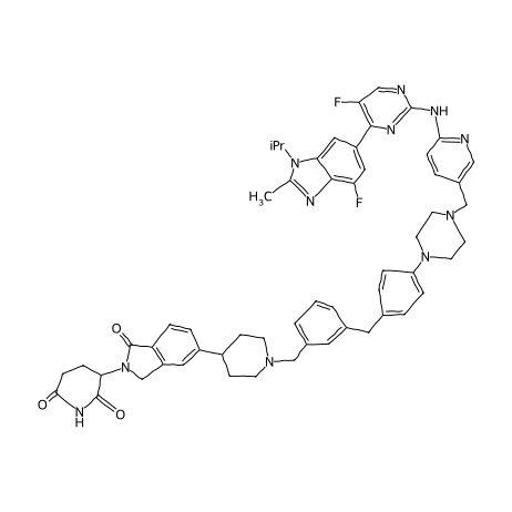 Cc1nc2c(F)cc(-c3nc(Nc4ccc(CN5CCN(c6ccc(Cc7cccc(CN8CCC(c9ccc%10c(c9)CN(C9CCC(=O)NC9=O)C%10=O)CC8)c7)cc6)CC5)cn4)ncc3F)cc2n1C(C)C